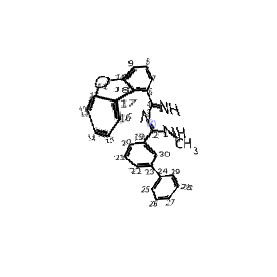 CN/C(=N\C(=N)c1cccc2oc3ccccc3c12)c1cccc(-c2ccccc2)c1